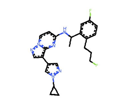 CC(Nc1ccn2ncc(-c3cnn(C4CC4)c3)c2n1)c1cc(F)ccc1CCCF